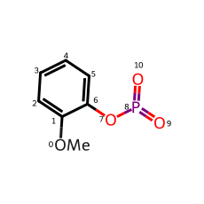 COc1ccccc1OP(=O)=O